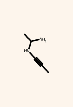 CC#CNC(C)N